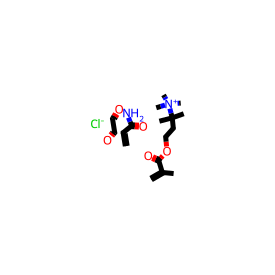 C=C(C)C(=O)OCCC(C)(C)[N+](C)(C)C.C=CC(N)=O.O=CC=O.[Cl-]